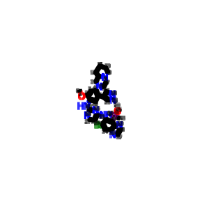 COc1cc(N2CCN3CCCCC3C2)c(-c2cnn(C)c2)cc1Nc1ncc(Br)c(Nc2ccc3nccnc3c2P(C)(C)=O)n1